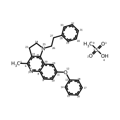 CS(=O)(=O)O.Cc1nc2ccc(Oc3ccccc3)cc2c2c1CCN2CCc1ccccc1